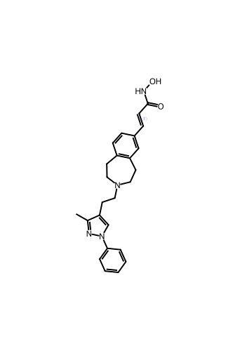 Cc1nn(-c2ccccc2)cc1CCN1CCc2ccc(/C=C/C(=O)NO)cc2CC1